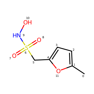 Cc1ccc(CS(=O)(=O)NO)o1